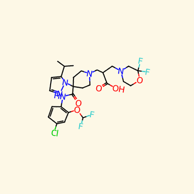 CC(C)c1ccnn1C1(C(=O)Nc2ccc(Cl)cc2OC(F)F)CCN(CC(CN2CCOC(F)(F)C2)C(=O)O)CC1